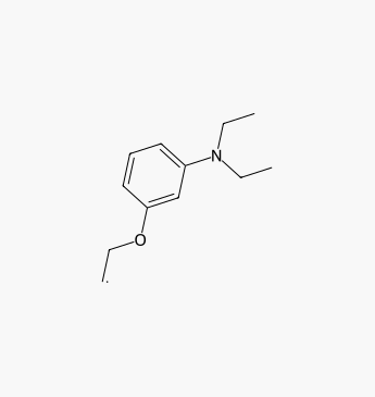 [CH2]COc1cccc(N(CC)CC)c1